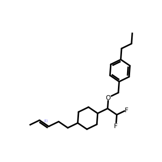 C/C=C/CCC1CCC(C(OCc2ccc(CCC)cc2)C(F)F)CC1